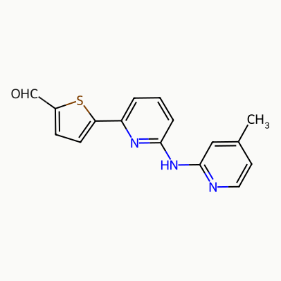 Cc1ccnc(Nc2cccc(-c3ccc(C=O)s3)n2)c1